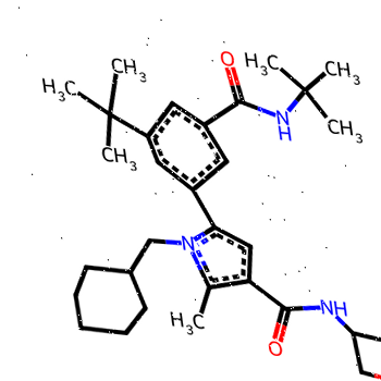 Cc1c(C(=O)NC2COC2)cc(-c2cc(C(=O)NC(C)(C)C)cc(C(C)(C)C)c2)n1CC1CCCCC1